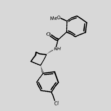 COc1ccccc1C(=O)N[C@H]1CC[C@H]1c1ccc(Cl)cc1